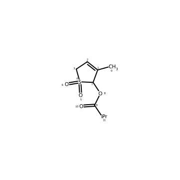 CC1=CCS(=O)(=O)C1OC(=O)C(C)C